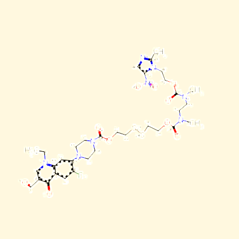 CCn1cc(C=O)c(=O)c2cc(F)c(N3CCN(C(=O)OCCSSCCOC(=O)N(C)CCN(C)C(=O)OCCn4c([N+](=O)[O-])cnc4C)CC3)cc21